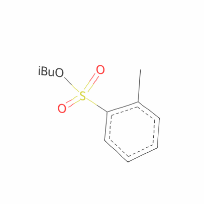 Cc1ccccc1S(=O)(=O)OCC(C)C